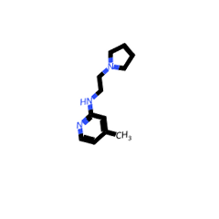 Cc1ccnc(NCCN2CCCC2)c1